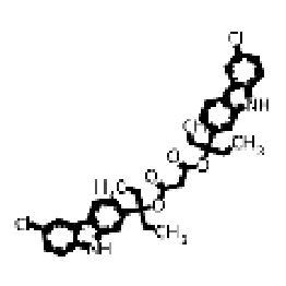 CCC(CC)(OC(=O)CC(=O)OC(CC)(CC)c1ccc2c(c1)[nH]c1ccc(Cl)cc12)c1ccc2c(c1)[nH]c1ccc(Cl)cc12